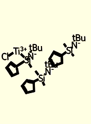 CC(C)(C)[N-][Si](C)(C)C1=CC=CC1.CC(C)(C)[N-][Si](C)(C)C1=CC=CC1.CC(C)(C)[N-][Si](C)(C)C1=CC=CC1.[Cl][Ti+3]